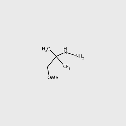 COCC(C)(NN)C(F)(F)F